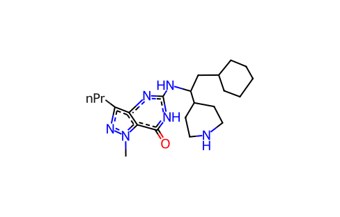 CCCc1nn(C)c2c(=O)[nH]c(NC(CC3CCCCC3)C3CCNCC3)nc12